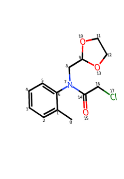 Cc1ccccc1N(CC1OCCO1)C(=O)CCl